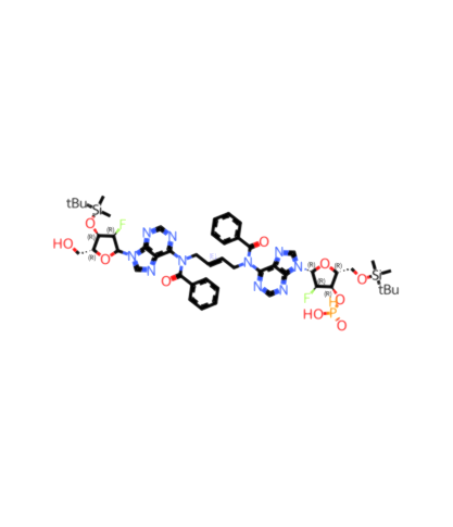 CC(C)(C)[Si](C)(C)OC[C@H]1O[C@@H](n2cnc3c(N(C/C=C/CN(C(=O)c4ccccc4)c4ncnc5c4ncn5C4O[C@H](CO)[C@@H](O[Si](C)(C)C(C)(C)C)[C@H]4F)C(=O)c4ccccc4)ncnc32)[C@H](F)[C@@H]1O[PH](=O)O